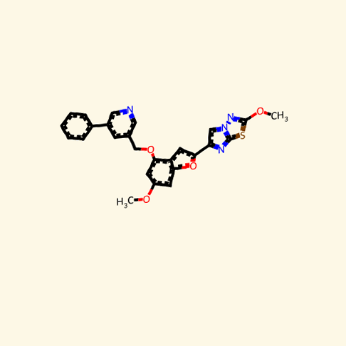 COc1cc(OCc2cncc(-c3ccccc3)c2)c2cc(-c3cn4nc(OC)sc4n3)oc2c1